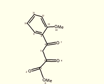 COC(=O)C(=O)CC(=O)c1ccccc1OC